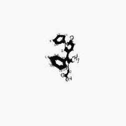 Cc1c(-c2ccc(=O)n(C3CCCC3)c2)c2ccccc2n1CC(=O)O